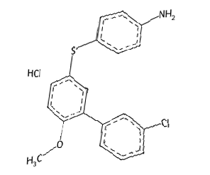 COc1ccc(Sc2ccc(N)cc2)cc1-c1cccc(Cl)c1.Cl